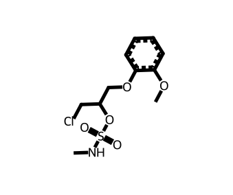 CNS(=O)(=O)OC(CCl)COc1ccccc1OC